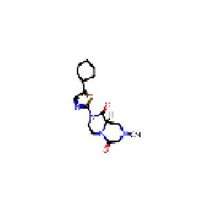 N#CN1CC(=O)N2CCN(c3ncc(C4CCCCC4)s3)C(=O)[C@@H]2C1